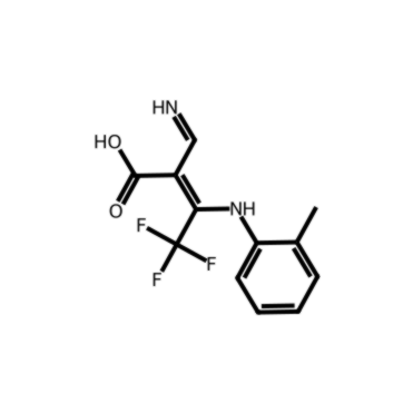 Cc1ccccc1N/C(=C(\C=N)C(=O)O)C(F)(F)F